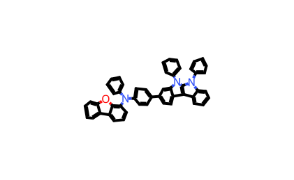 c1ccc(N(c2ccc(-c3ccc4c5c6ccccc6n(-c6ccccc6)c5n(-c5ccccc5)c4c3)cc2)c2cccc3c2oc2ccccc23)cc1